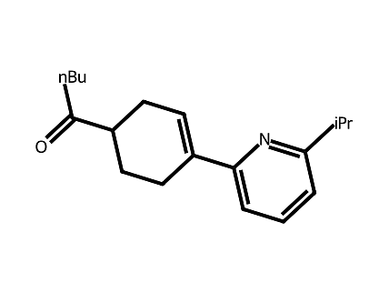 CCCCC(=O)C1CC=C(c2cccc(C(C)C)n2)CC1